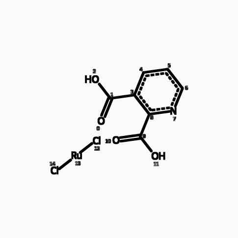 O=C(O)c1cccnc1C(=O)O.[Cl][Ru][Cl]